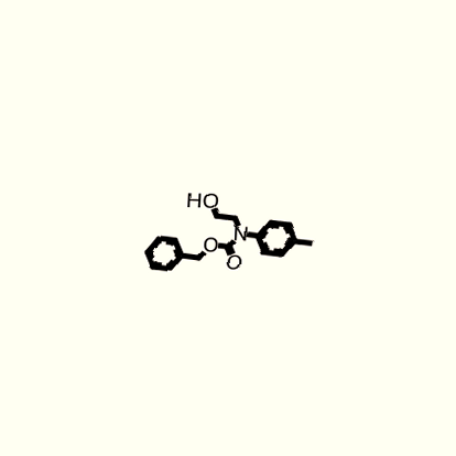 Cc1ccc(N(CCO)C(=O)OCc2ccccc2)cc1